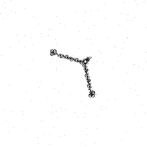 O=S(=O)([O-])CCCCOCCOCCOCCOCCOc1ccccc1OCCOCCOCCOCCOCCCCS(=O)(=O)[O-].[K+].[K+]